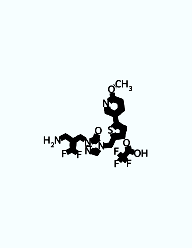 COc1ccc(-c2ccc(Cn3cnn(CC(CN)=C(F)F)c3=O)s2)cn1.O=C(O)C(F)(F)F